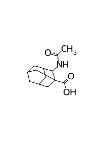 CC(=O)NC1C2CC3CC(C2)CC1(C(=O)O)C3